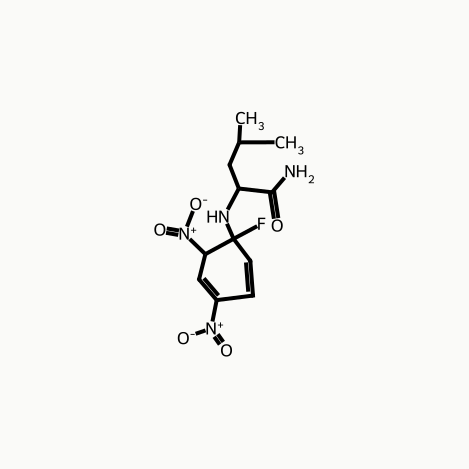 CC(C)CC(NC1(F)C=CC([N+](=O)[O-])=CC1[N+](=O)[O-])C(N)=O